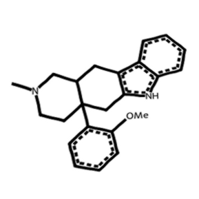 COc1ccccc1C12CCN(C)CC1Cc1c([nH]c3ccccc13)C2